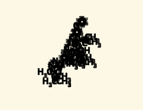 CN(C(=O)OC(C)(C)C)c1ncnc2c1ccn2[C@@H]1C[C@H](CN(CCCN(Cc2cccc(Oc3ccccc3)c2)C(=O)OCC[Si](C)(C)C)CCC(NC(=O)OC(C)(C)C)C(=O)O)[C@H]2OC(C)(C)O[C@H]21